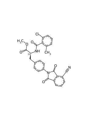 COC(=O)[C@H](Cc1ccc(N2C(=O)c3cccc(C#N)c3C2=O)cc1)NC(=O)c1c(C)cccc1Cl